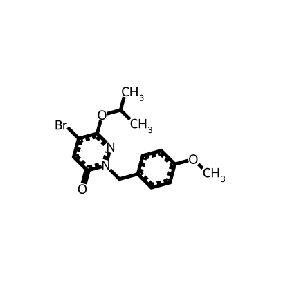 COc1ccc(Cn2nc(OC(C)C)c(Br)cc2=O)cc1